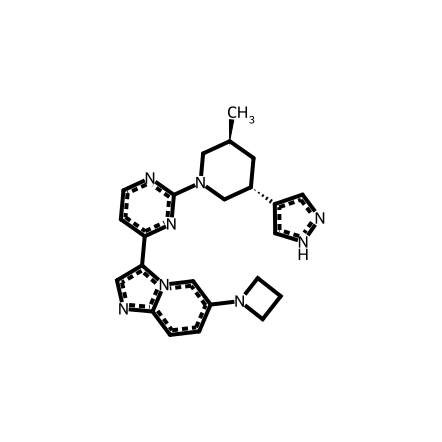 C[C@H]1C[C@H](c2cn[nH]c2)CN(c2nccc(-c3cnc4ccc(N5CCC5)cn34)n2)C1